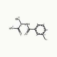 CCCC(=O)N(NC(=O)c1cccc(C)c1)C(C)(C)C